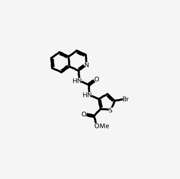 COC(=O)c1sc(Br)cc1NC(=O)Nc1nccc2ccccc12